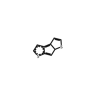 C1=CC2=c3ccsc3=CC2S1